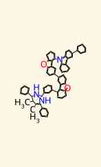 CC1=C(c2ccccc2)NC(c2cccc(-c3cccc4oc5ccc(-c6ccc7oc8cccc(-n9c%10ccccc%10c%10cc(-c%11ccccc%11)ccc%109)c8c7c6)cc5c34)c2)NC(c2ccccc2)C1C